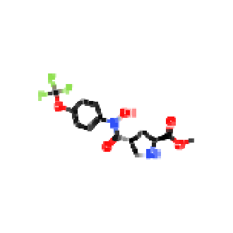 COC(=O)[C@@H]1C[C@@H](C(=O)N(O)c2ccc(OC(F)(F)F)cc2)CN1